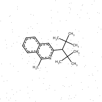 Cc1nc(C(C(C)(C)C)C(C)(C)C)cc2ccccc12